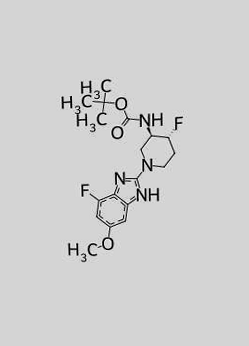 COc1cc(F)c2nc(N3CC[C@@H](F)[C@H](NC(=O)OC(C)(C)C)C3)[nH]c2c1